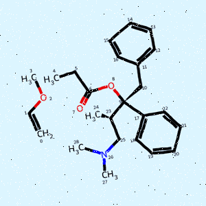 C=COC.CCC(=O)O[C@](Cc1ccccc1)(c1ccccc1)[C@H](C)CN(C)C